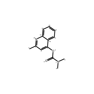 Cc1cc(OC(=O)N(C)C)c2ccccc2n1